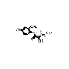 CC(=O)OONC(C)C(=S)Nc1ccc(Cl)cc1C